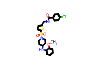 COc1ccccc1NC1CCN(S(=O)(=O)c2ccc(CNC(=O)c3ccc(Cl)cc3)s2)CC1